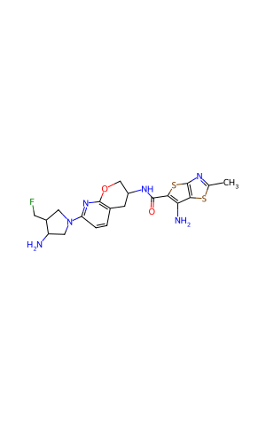 Cc1nc2sc(C(=O)NC3COc4nc(N5CC(N)C(CF)C5)ccc4C3)c(N)c2s1